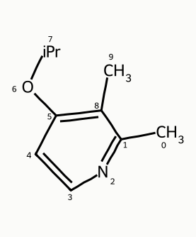 Cc1nccc(OC(C)C)c1C